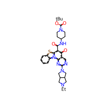 CCN1CC2CN(c3ncc4c(=O)c(C(=O)NC5CCN(C(=O)OC(C)(C)C)CC5)c5sc6ccccc6n5c4n3)CC2C1